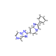 Cc1nccn2nc(-c3ccn4cc(-c5ccccc5)nc4c3)nc12